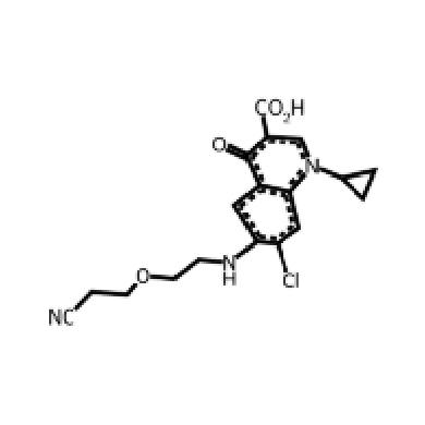 N#CCCOCCNc1cc2c(=O)c(C(=O)O)cn(C3CC3)c2cc1Cl